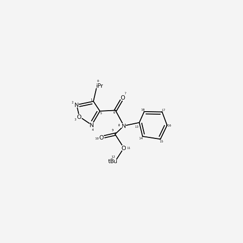 CC(C)c1nonc1C(=O)N(C(=O)OC(C)(C)C)c1ccccc1